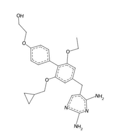 CCOc1cc(Cc2cnc(N)nc2N)cc(OCC2CC2)c1-c1ccc(OCCO)cc1